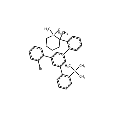 CC1(c2ccccc2-c2cc(-c3ccccc3Br)cc(-c3ccccc3[Si](C)(C)C)c2)CCCC[Si]1(C)C